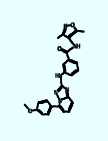 COc1ccc(-c2cccc3nc(Nc4cccc(C(=O)Nc5c(C)noc5C)c4)nn23)cc1